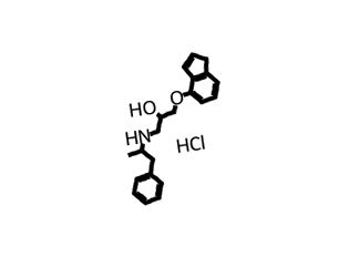 CC(Cc1ccccc1)NCC(O)COc1cccc2c1C=CC2.Cl